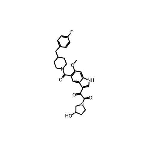 COc1cc2[nH]cc(C(=O)C(=O)N3CC[C@@H](O)C3)c2cc1C(=O)N1CCC(Cc2ccc(F)cc2)CC1